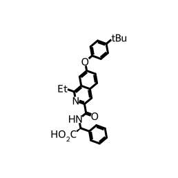 CCc1nc(C(=O)N[C@H](C(=O)O)c2ccccc2)cc2ccc(Oc3ccc(C(C)(C)C)cc3)cc12